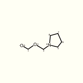 [O]COCN1CCCC1